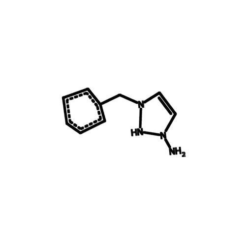 NN1C=CN(Cc2ccccc2)N1